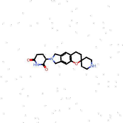 O=C1CCC(N2Cc3cc4c(cc3C2)OC2(CCNCC2)CC4)C(=O)N1